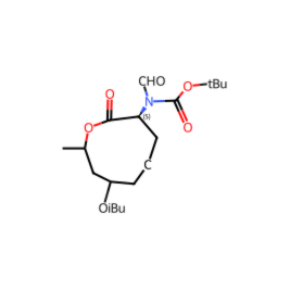 CC(C)COC1CCC[C@H](N(C=O)C(=O)OC(C)(C)C)C(=O)OC(C)C1